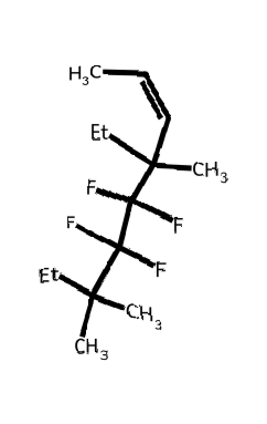 C/C=C\C(C)(CC)C(F)(F)C(F)(F)C(C)(C)CC